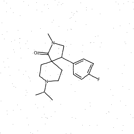 CC(C)N1CCC2(CC1)C(=O)N(C)CC2c1ccc(F)cc1